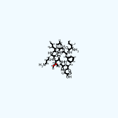 CC[C@H](C)[C@H](N)C(=O)N[C@@H](Cc1ccccc1)C(=O)N[C@@H](CC(C)C)C(=O)N[C@H](C(=O)N[C@@H](CCCCN)C(=O)N[C@H](C(=O)N[C@@H](CC(C)C)C(=O)N[C@@H](C)C(=O)N[C@@H](C)C(=O)O)[C@@H](C)CC)[C@@H](C)CC